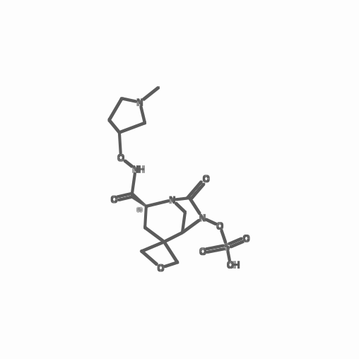 CN1CCC(ONC(=O)[C@@H]2CC3(COC3)C3CN2C(=O)N3OS(=O)(=O)O)C1